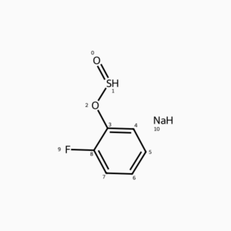 O=[SH]Oc1ccccc1F.[NaH]